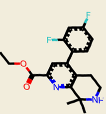 CCOC(=O)c1cc(-c2ccc(F)cc2F)c2c(n1)C(C)(C)NCC2